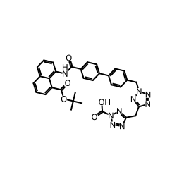 CC(C)(C)OC(=O)c1cccc2cccc(NC(=O)c3ccc(-c4ccc(Cn5nnc(Cc6nnn(C(=O)O)n6)n5)cc4)cc3)c12